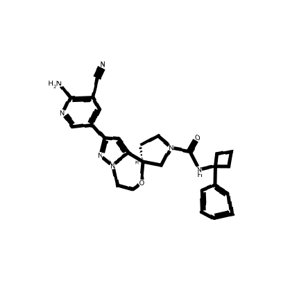 N#Cc1cc(-c2cc3n(n2)CCO[C@@]32CCN(C(=O)NC3(c4ccccc4)CCC3)C2)cnc1N